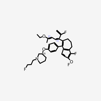 C=C(F)/C(=C\C=C(/C)OCC)C1=C(c2ccc(O[C@H]3CCCN(CCCF)C3)cc2)c2ccc(OF)c(F)c2CCC1